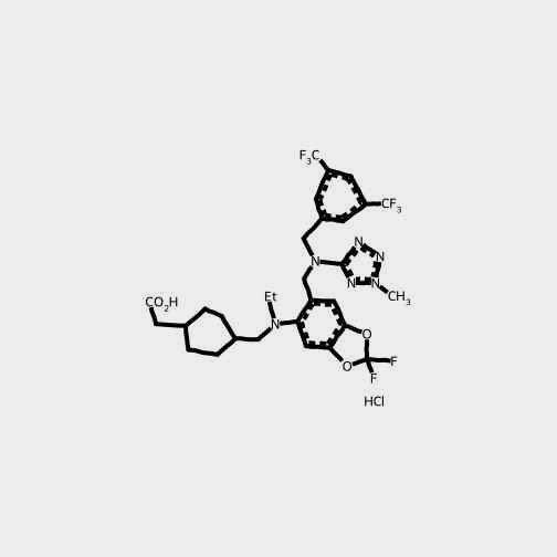 CCN(CC1CCC(CC(=O)O)CC1)c1cc2c(cc1CN(Cc1cc(C(F)(F)F)cc(C(F)(F)F)c1)c1nnn(C)n1)OC(F)(F)O2.Cl